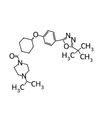 CC(C)N1CCN(C(=O)[C@H]2CC[C@H](Oc3ccc(-c4nnc(C(C)(C)C)o4)cc3)CC2)CC1